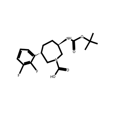 CC(C)(C)OC(=O)N[C@@H]1CC[C@@H](c2cccc(F)c2F)CN(C(=O)O)C1